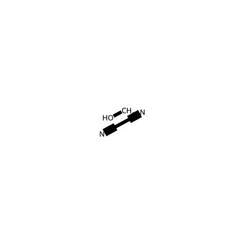 CO.N#CC#N